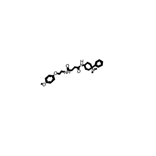 COc1ccc(OCCNC(=O)CCC(=O)NC2CCC(c3ccccc3)(N(C)C)CC2)cc1